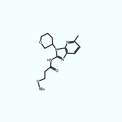 Cc1ccc2nc(NC(=O)CCOC(C)(C)C)n(C3CCCOC3)c2n1